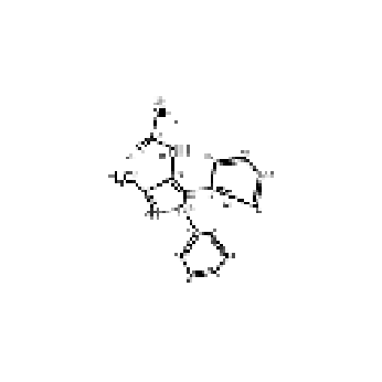 Cc1nn(-c2ccccc2)c(-c2ccccc2)c1NC(N)=S